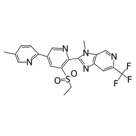 CCS(=O)(=O)c1cc(-c2ccc(C)cn2)cnc1-c1nc2cc(C(F)(F)F)ncc2n1C